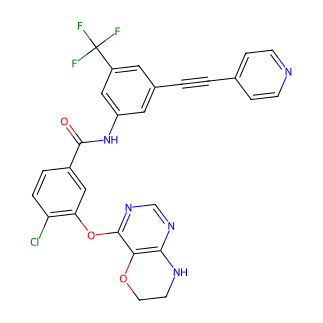 O=C(Nc1cc(C#Cc2ccncc2)cc(C(F)(F)F)c1)c1ccc(Cl)c(Oc2ncnc3c2OCCN3)c1